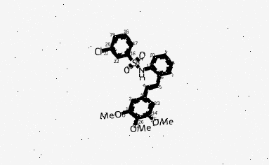 COc1cc(C=Cc2ccccc2NS(=O)(=O)c2cccc(Cl)c2)cc(OC)c1OC